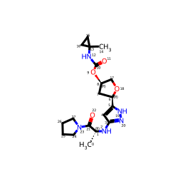 C[C@@H](Nc1cc([C@H]2C[C@@H](OC(=O)NC3(C)CC3)CO2)[nH]n1)C(=O)N1CCCC1